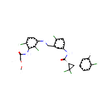 CCO[C@H](C)C(=O)Nc1c(F)ccc(NCc2cc(NC(=O)[C@H]3[C@H](c4ccc(F)c(C(F)(F)F)c4)C3(Cl)Cl)ccc2Cl)c1F